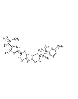 COc1cccc([C@@](O)(C(=O)N2CCC(SC3CCN(c4ccc(C(=O)N(C)C)c(Cl)c4)CC3)CC2)C(F)(F)F)c1